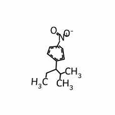 CCC(c1ccc([N+](=O)[O-])cc1)C(C)C